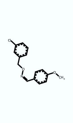 COc1ccc(/[C]=N\OCc2cccc(Cl)c2)cc1